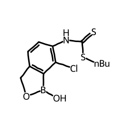 CCCCSC(=S)Nc1ccc2c(c1Cl)B(O)OC2